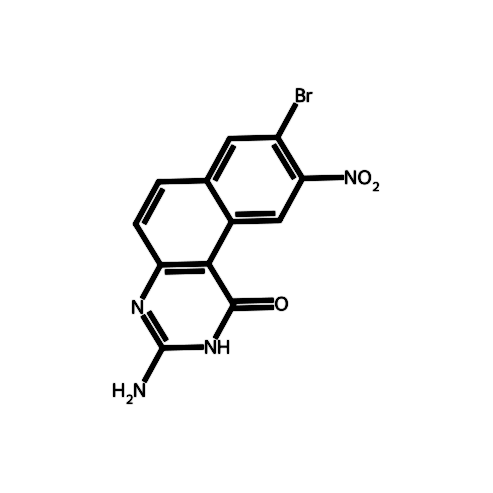 Nc1nc2ccc3cc(Br)c([N+](=O)[O-])cc3c2c(=O)[nH]1